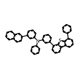 c1ccc(-c2cccc3c2sc2c(-c4cccc(N(c5ccccc5)c5cccc(-c6ccc7ccccc7c6)c5)c4)cccc23)cc1